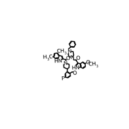 COc1ccc2[nH]cc(C(=O)CN3CCN(Cc4ccccc4)CC3)c2c1.Cc1cc(C)c2cc(C(=O)N3CCC(c4cc(F)ccc4C=O)CC3)[nH]c2c1